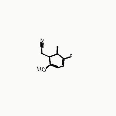 CC1C(F)=CC=C(O)C1CC#N